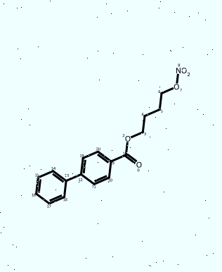 O=C(OCCCCO[N+](=O)[O-])c1ccc(-c2ccccc2)cc1